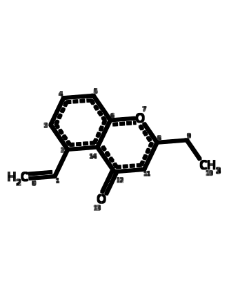 C=Cc1cccc2oc(CC)cc(=O)c12